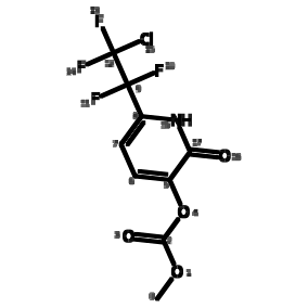 COC(=O)Oc1ccc(C(F)(F)C(F)(F)Cl)[nH]c1=O